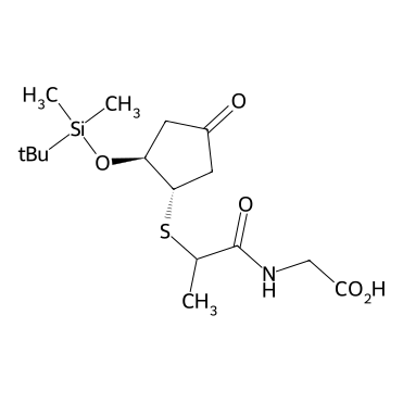 CC(S[C@H]1CC(=O)C[C@@H]1O[Si](C)(C)C(C)(C)C)C(=O)NCC(=O)O